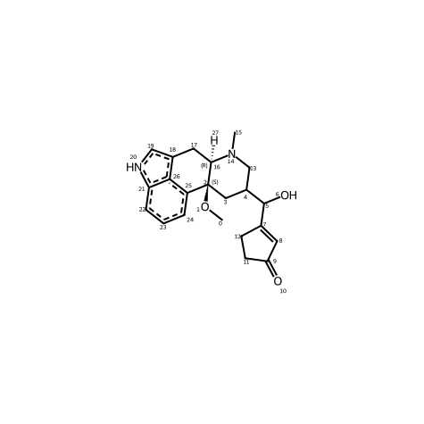 CO[C@]12CC(C(O)C3=CC(=O)CC3)CN(C)[C@@H]1Cc1c[nH]c3cccc2c13